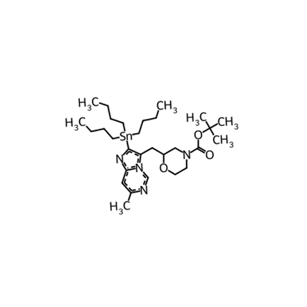 CCC[CH2][Sn]([CH2]CCC)([CH2]CCC)[c]1nc2cc(C)ncn2c1CC1CN(C(=O)OC(C)(C)C)CCO1